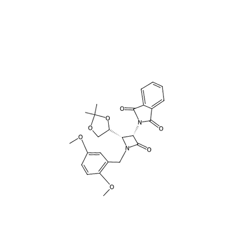 COc1ccc(OC)c(CN2C(=O)[C@@H](N3C(=O)c4ccccc4C3=O)[C@H]2C2COC(C)(C)O2)c1